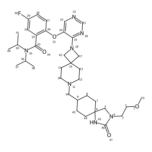 COCCN1CC2(CCC(CN3CCC4(CC3)CN(c3ncncc3Oc3ccc(F)cc3C(=O)N(C(C)C)C(C)C)C4)CC2)NC1=O